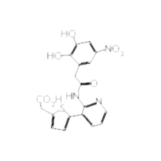 O=C(O)Cc1ccc(-c2cccnc2NC(=O)Cc2cc([N+](=O)[O-])cc(O)c2O)s1